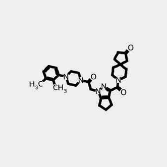 Cc1cccc(N2CCN(C(=O)Cn3nc(C(=O)N4CCC5(CCC(=O)C5)CC4)c4c3CCC4)CC2)c1C